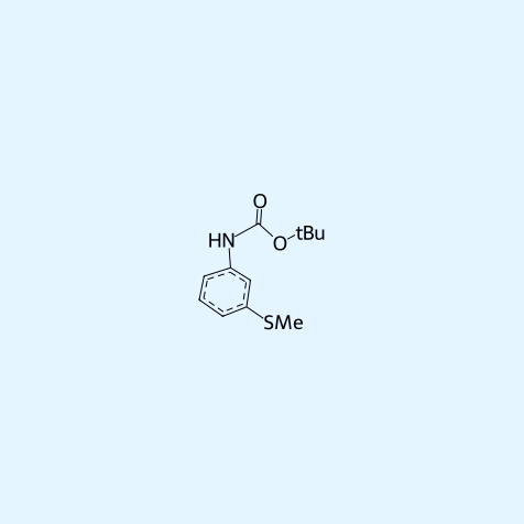 CSc1cccc(NC(=O)OC(C)(C)C)c1